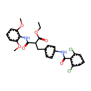 CCOC(=O)C(Cc1ccc(NC(=O)c2c(Cl)cccc2Cl)cc1)C(=O)Nc1c(OC)cccc1OC